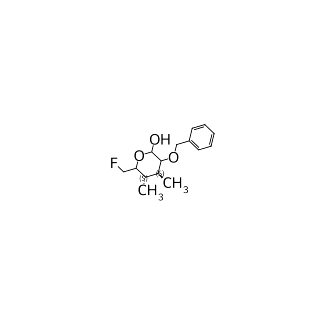 C[C@@H]1C(CF)OC(O)C(OCc2ccccc2)[C@H]1C